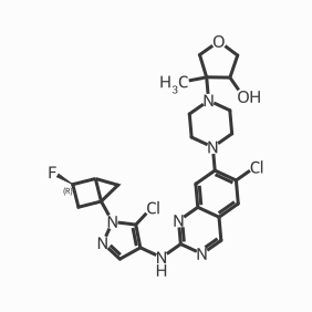 CC1(N2CCN(c3cc4nc(Nc5cnn(C67CC6[C@H](F)C7)c5Cl)ncc4cc3Cl)CC2)COCC1O